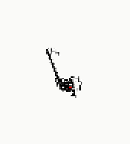 C=C1CCC2(O)C3Cc4ccc(OC(=O)OCCCCCCCCCCCCC)c5c4C2(CCN3CC2CC2)C1O5